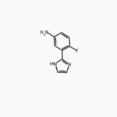 Nc1ccc(F)c(-c2ncc[nH]2)c1